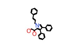 O=CC(=O)c1c(-c2ccccc2)c(-c2ccccc2)cn1CC=Cc1ccccc1